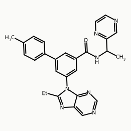 CCc1nc2cncnc2n1-c1cc(C(=O)NC(C)c2cnccn2)cc(-c2ccc(C)cc2)c1